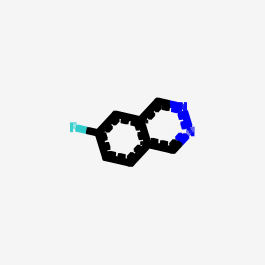 Fc1ccc2cnncc2c1